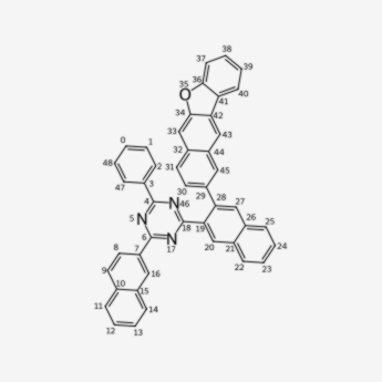 c1ccc(-c2nc(-c3ccc4ccccc4c3)nc(-c3cc4ccccc4cc3-c3ccc4cc5oc6ccccc6c5cc4c3)n2)cc1